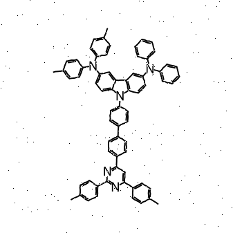 Cc1ccc(-c2cc(-c3ccc(-c4ccc(-n5c6ccc(N(c7ccccc7)c7ccccc7)cc6c6cc(N(c7ccc(C)cc7)c7ccc(C)cc7)ccc65)cc4)cc3)nc(-c3ccc(C)cc3)n2)cc1